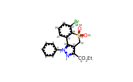 CCOC(=O)c1nn(-c2ccccc2)c2c1CS(=O)(=O)c1c(Br)cccc1-2